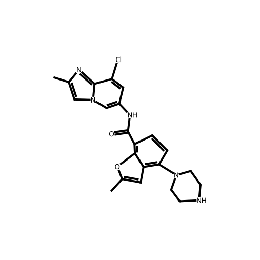 Cc1cn2cc(NC(=O)c3ccc(N4CCNCC4)c4cc(C)oc34)cc(Cl)c2n1